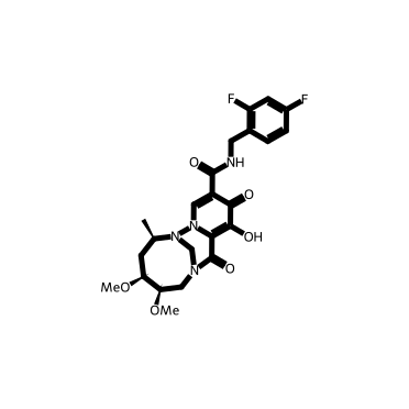 CO[C@H]1C[C@@H](C)N2CN(C[C@H]1OC)C(=O)c1c(O)c(=O)c(C(=O)NCc3ccc(F)cc3F)cn12